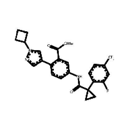 COC(=O)c1cc(NC(=O)C2(c3ccc(C(F)(F)F)cc3F)CC2)ccc1-c1cnn(C2CCC2)c1